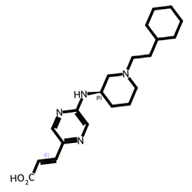 O=C(O)/C=C/c1cnc(N[C@@H]2CCCN(CCC3CCCCC3)C2)cn1